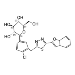 OC[C@H]1O[C@@H](c2ccc(Cl)c(Cc3nnc(C4=CC5C=CC=CC5O4)s3)c2)[C@H](O)[C@@H](O)[C@@H]1O